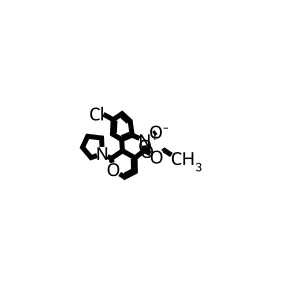 CCOC(=O)C1=C=COC(N2CCCC2)C1c1cc(Cl)ccc1[N+](=O)[O-]